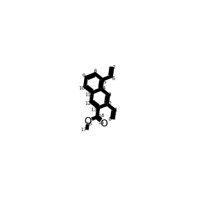 C=Cc1cc2c(C=C)cccc2cc1C(=O)OC